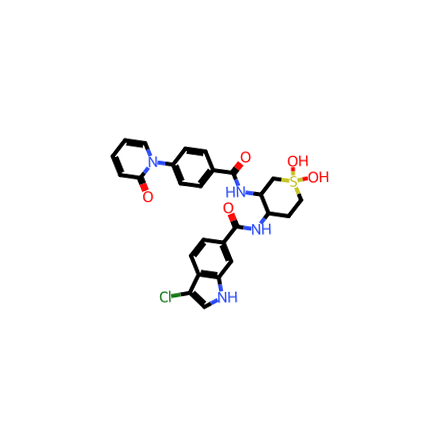 O=C(NC1CCS(O)(O)CC1NC(=O)c1ccc(-n2ccccc2=O)cc1)c1ccc2c(Cl)c[nH]c2c1